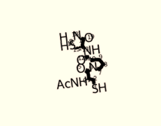 CC(=O)N[C@@H](CS)C(=O)N1CCC[C@H]1C(=O)N[C@@H](CS)C(N)=O